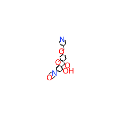 O=c1c2ccc(OCc3ccncc3)cc2oc2cc(N3CCOCC3)cc(O)c12